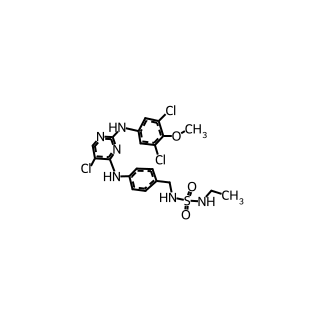 CCNS(=O)(=O)NCc1ccc(Nc2nc(Nc3cc(Cl)c(OC)c(Cl)c3)ncc2Cl)cc1